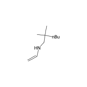 C=CNCC(C)(C)CCCC